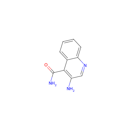 NC(=O)c1c(N)cnc2ccccc12